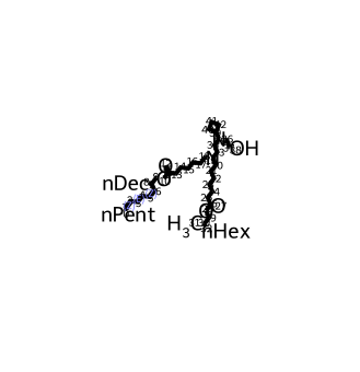 CCCCC\C=C/C=C/C=C\C(CCCCCCCCCC)COC(=O)CCCCCCN(CCCCCCC(=O)OCC(C)CCCCCC)CCN(CCO)C1CCC1